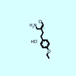 CCOc1ccc(CC/C(=C/Cl)CN)cc1.Cl